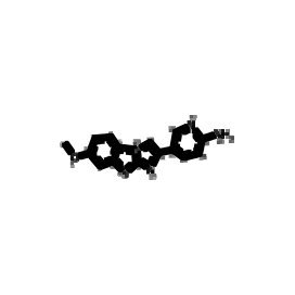 COc1ccc2c(c1)sc1nc(-c3ccc(N)nc3)cn12